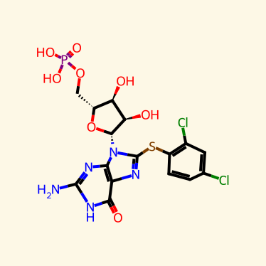 Nc1nc2c(nc(Sc3ccc(Cl)cc3Cl)n2[C@@H]2O[C@H](COP(=O)(O)O)[C@@H](O)[C@H]2O)c(=O)[nH]1